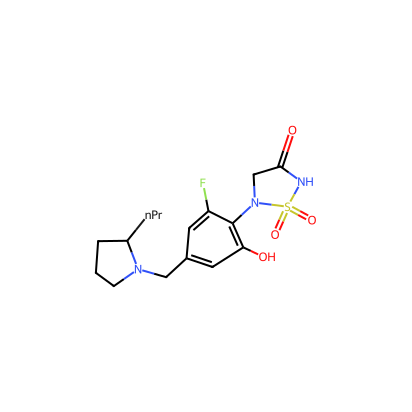 CCCC1CCCN1Cc1cc(O)c(N2CC(=O)NS2(=O)=O)c(F)c1